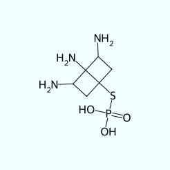 NC1CC2(SP(=O)(O)O)CC(N)C12N